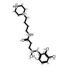 CN(CCC(=O)NCCCCN1CCNCC1)Sc1cccc(Cl)c1Cl